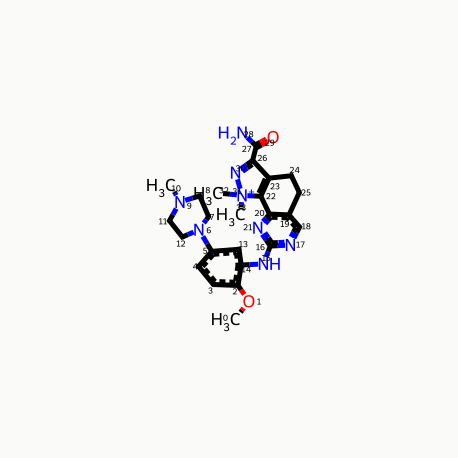 COc1ccc(N2CCN(C)CC2)cc1Nc1ncc2c(n1)C1=C(CC2)C(C(N)=O)=N[N+]1(C)C